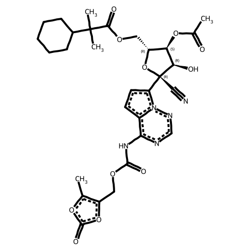 CC(=O)O[C@H]1[C@@H](O)[C@](C#N)(c2ccc3c(NC(=O)OCc4oc(=O)oc4C)ncnn23)O[C@@H]1COC(=O)C(C)(C)C1CCCCC1